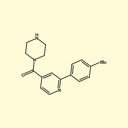 CC(C)(C)c1ccc(-c2cc(C(=O)N3CCNCC3)ccn2)cc1